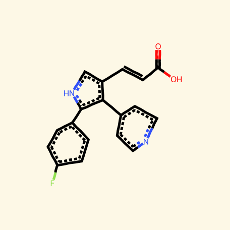 O=C(O)C=Cc1c[nH]c(-c2ccc(F)cc2)c1-c1ccncc1